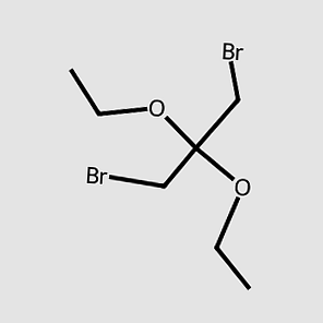 CCOC(CBr)(CBr)OCC